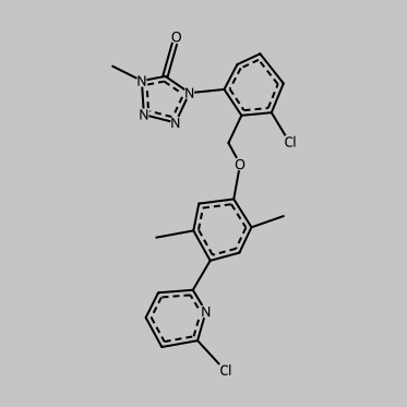 Cc1cc(-c2cccc(Cl)n2)c(C)cc1OCc1c(Cl)cccc1-n1nnn(C)c1=O